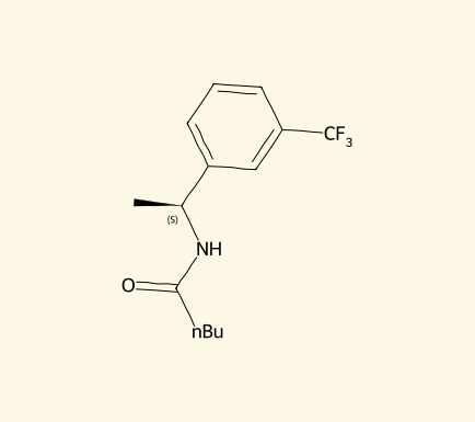 CCCCC(=O)N[C@@H](C)c1cccc(C(F)(F)F)c1